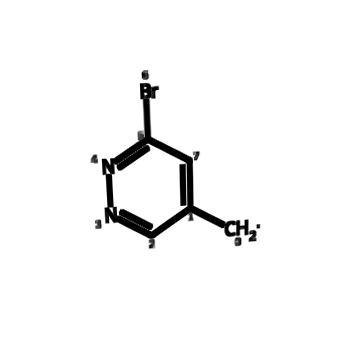 [CH2]c1cnnc(Br)c1